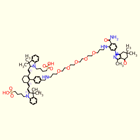 Cc1nn(-c2ccc(C(N)=O)c(NCCCOCCOCCOCCOCCOCCCNCc3ccc(C4=C(/C=C/C5N(CCCCS(=O)(=O)O)c6ccccc6C5(C)C)CCC/C4=C\C=C4\N(CCCCS(=O)(=O)O)c5ccccc5C4(C)C)cc3)c2)c2c1C(=O)CC(C)(C)C2